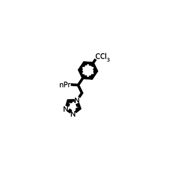 CCCC(Cn1cnnc1)c1ccc(C(Cl)(Cl)Cl)cc1